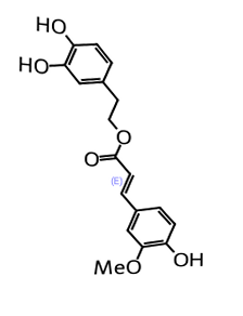 COc1cc(/C=C/C(=O)OCCc2ccc(O)c(O)c2)ccc1O